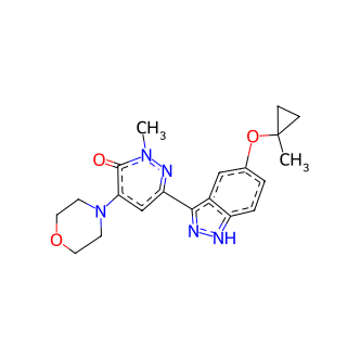 Cn1nc(-c2n[nH]c3ccc(OC4(C)CC4)cc23)cc(N2CCOCC2)c1=O